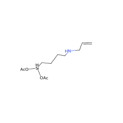 C=CCNCCCC[SiH](OC(C)=O)OC(C)=O